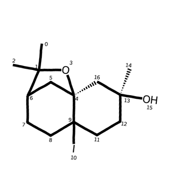 CC1(C)O[C@]23CC1CCC2(I)CC[C@](C)(O)C3